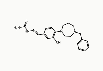 N#Cc1cc(C=NNC(N)=S)ccc1N1CCCN(Cc2ccccc2)CC1